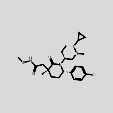 CC[C@@H](CN(C)SC1CC1)N1C(=O)[C@@](C)(CC(=O)NSC)CC[C@H]1c1ccc(Cl)cc1